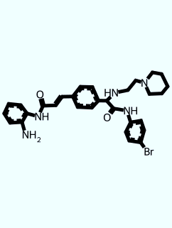 Nc1ccccc1NC(=O)C=Cc1ccc(C(NCCN2CCCCC2)C(=O)Nc2ccc(Br)cc2)cc1